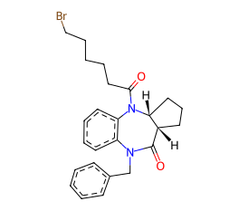 O=C1[C@H]2CCC[C@H]2N(C(=O)CCCCCBr)c2ccccc2N1Cc1ccccc1